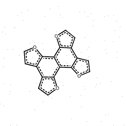 c1cc2c3ccoc3c3c4occc4c4ccoc4c3c2o1